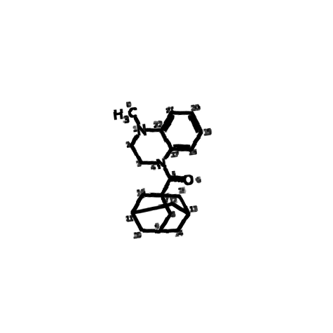 CN1CCN(C(=O)C23CC4CC(CC(C4)C2)C3)c2ccccc21